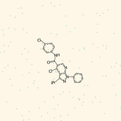 CC(C)c1nn(-c2ccccc2)c2ncc(C(=O)Nc3ccc(Cl)cc3)c(Cl)c12